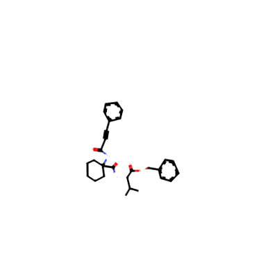 CC(C)[C@H](NC(=O)C1(NC(=O)C#Cc2ccccc2)CCCCC1)C(=O)OCc1ccccc1